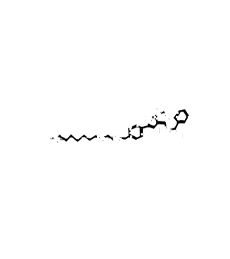 C[C@@H](Nc1ncnc2[nH]c(-c3ccc(CNCCNCCCCCCC(=O)NO)cc3)cc12)c1ccccc1